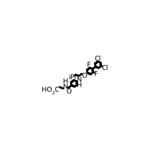 CC(C)CC(COc1cc(F)c(-c2cc(Cl)cc(Cl)c2)c(F)c1)Nc1ccc(C(=O)NCCC(=O)O)cc1